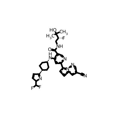 CC(C)(O)[C@H](F)CNC(=O)c1cnc(-c2ccc3cc(C#N)cnn23)cc1N[C@H]1CC[C@H](C2=NC(C(F)F)C=C2)CC1